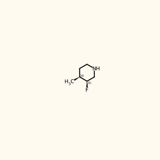 C[C@H]1CCNC[C@H]1F